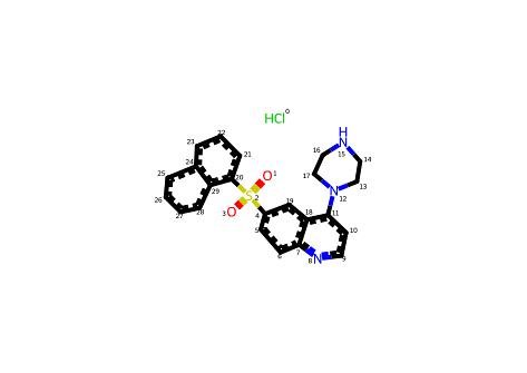 Cl.O=S(=O)(c1ccc2nccc(N3CCNCC3)c2c1)c1cccc2ccccc12